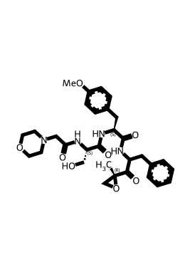 COc1ccc(C[C@H](NC(=O)[C@H](CO)NC(=O)CN2CCOCC2)C(=O)NC(Cc2ccccc2)C(=O)[C@@]2(C)CO2)cc1